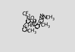 C[C@H]1CCCN(Cc2cc(C(=O)Nc3cccc(C(C)(C)Cc4nncn4C)c3)c(=O)n(CCC(F)(F)F)c2)C1